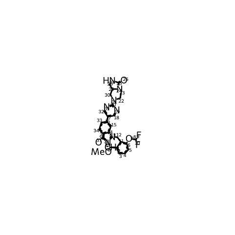 COCc1cccc(OC(F)F)c1Cn1c2cc(-c3cnc(N4CCN5C(=O)NCC5C4)nc3)ccc2c(=O)n1C